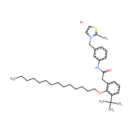 CCCCCCCCCCCCCCOc1c(CC(=O)Nc2cccc(C[n+]3ccsc3C)c2)cccc1C(C)(C)C.[Br-]